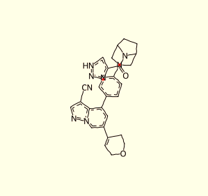 N#Cc1cnn2cc(C3=CCOCC3)cc(-c3ccc(N4CC5CCC(C4)N5C(=O)c4cn[nH]c4)nc3)c12